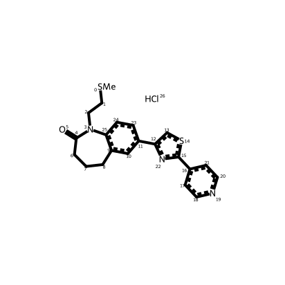 CSCCN1C(=O)CCCc2cc(-c3csc(-c4ccncc4)n3)ccc21.Cl